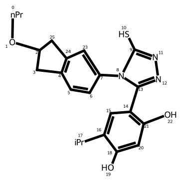 CCCOC1Cc2ccc(-n3c(S)nnc3-c3cc(C(C)C)c(O)cc3O)cc2C1